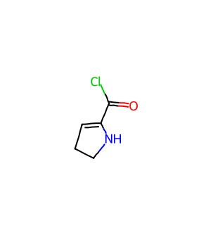 O=C(Cl)C1=CCCN1